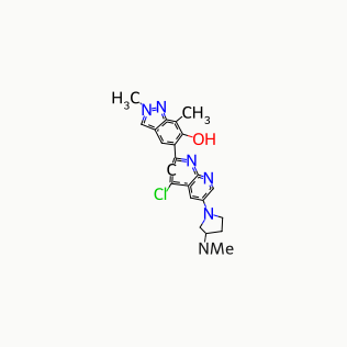 CNC1CCN(c2cnc3nc(-c4cc5cn(C)nc5c(C)c4O)cc(Cl)c3c2)C1